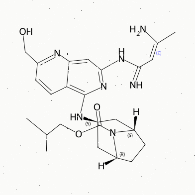 C/C(N)=C/C(=N)Nc1cc2nc(CO)ccc2c(N[C@@H]2C[C@H]3CC[C@@H](C2)N3C(=O)OCC(C)C)n1